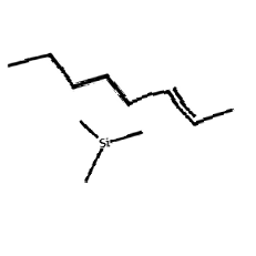 CC=CCCCCC.C[Si](C)C